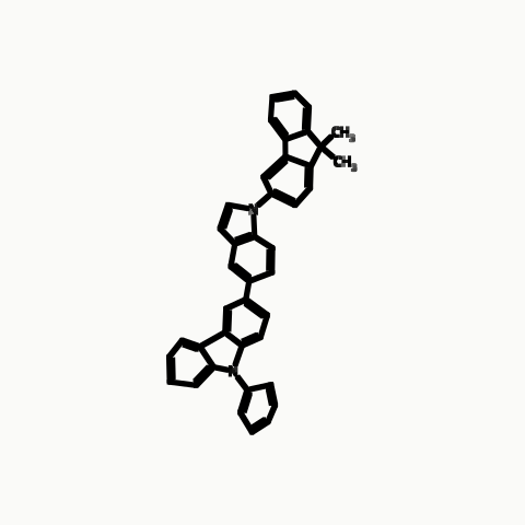 CC1(C)c2ccccc2-c2cc(-n3ccc4cc(-c5ccc6c(c5)c5ccccc5n6-c5ccccc5)ccc43)ccc21